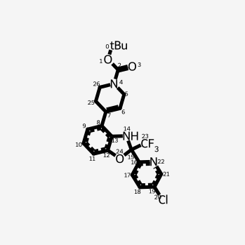 CC(C)(C)OC(=O)N1CC=C(c2cccc3c2NC(c2ccc(Cl)cn2)(C(F)(F)F)O3)CC1